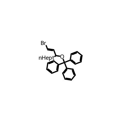 CCCCCCCC(/C=C/Br)OC(c1ccccc1)(c1ccccc1)c1ccccc1